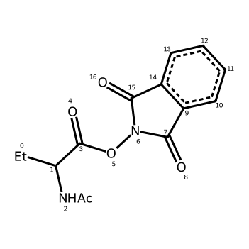 CCC(NC(C)=O)C(=O)ON1C(=O)c2ccccc2C1=O